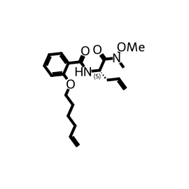 C=CCCCCOc1ccccc1C(=O)N[C@@H](CC=C)C(=O)N(C)OC